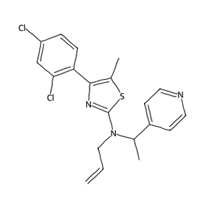 C=CCN(c1nc(-c2ccc(Cl)cc2Cl)c(C)s1)C(C)c1ccncc1